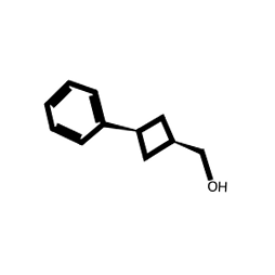 OC[C@H]1C[C@@H](c2ccccc2)C1